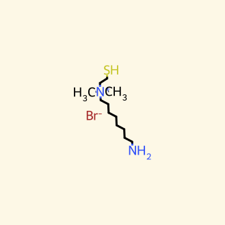 C[N+](C)(CCS)CCCCCCCCN.[Br-]